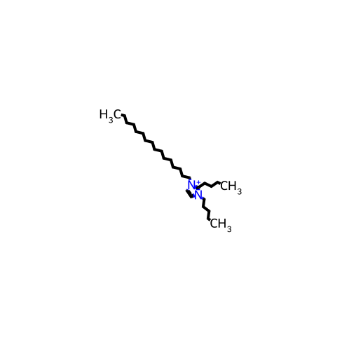 CCCCCCCCCCCCCCCC[n+]1ccn(CCCCC)c1CCCC